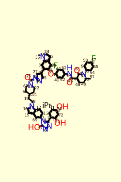 CC(C)c1cc(-c2nnc(O)n2-c2ccc3c(ccn3CCC3CCN(C(=O)n4cc(-c5cc6c(ccn6C)cc5Oc5ccc(NC(=O)C6=CCC(C)N(c7ccc(F)cc7)C6=O)cc5F)cn4)CC3)c2)c(O)cc1O